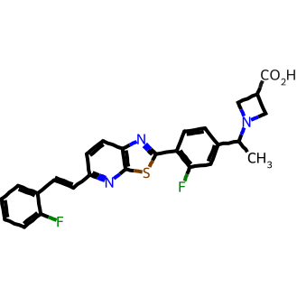 CC(c1ccc(-c2nc3ccc(C=Cc4ccccc4F)nc3s2)c(F)c1)N1CC(C(=O)O)C1